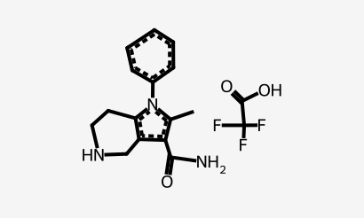 Cc1c(C(N)=O)c2c(n1-c1ccccc1)CCNC2.O=C(O)C(F)(F)F